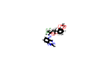 Cc1ncc2c(N=CC(O)(CC(C)(C)c3cccc4c3OCO4)C(F)(F)F)cccc2n1